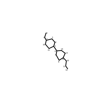 C[CH]C1CCC(C2CCC(CCC)CC2)CC1